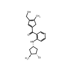 CC[C@H]1C[C@@H](Nc2ccncc2C(=O)C2=CC(CO)=C(C)C2)C[C@@H]1C